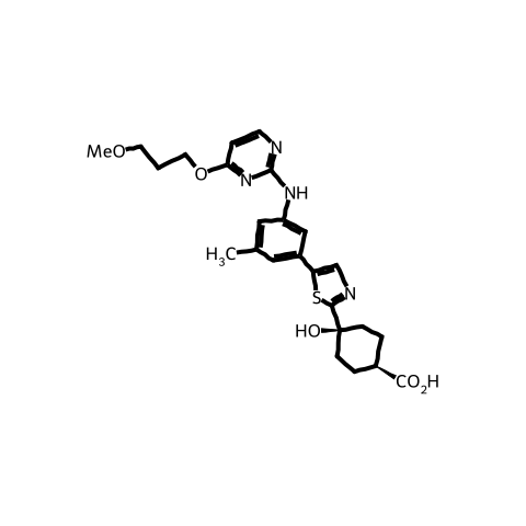 COCCCOc1ccnc(Nc2cc(C)cc(-c3cnc([C@]4(O)CC[C@@H](C(=O)O)CC4)s3)c2)n1